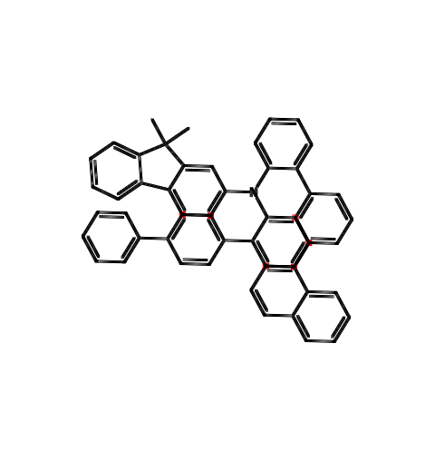 CC1(C)c2ccccc2-c2ccc(N(c3ccccc3-c3ccc(-c4ccccc4)cc3)c3ccccc3-c3cccc(-c4cccc5ccccc45)c3)cc21